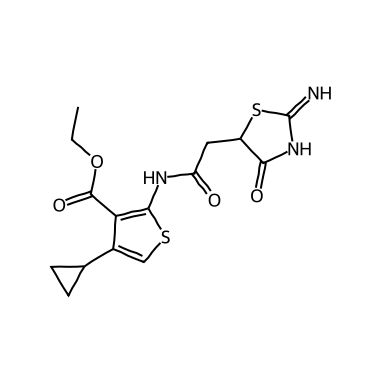 CCOC(=O)c1c(C2CC2)csc1NC(=O)CC1SC(=N)NC1=O